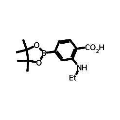 CCNc1cc(B2OC(C)(C)C(C)(C)O2)ccc1C(=O)O